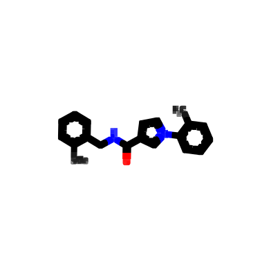 CSc1ccccc1CNC(=O)c1ccn(-c2ccccc2C(F)(F)F)c1